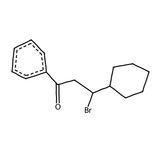 O=C(CC(Br)C1CCCCC1)c1ccccc1